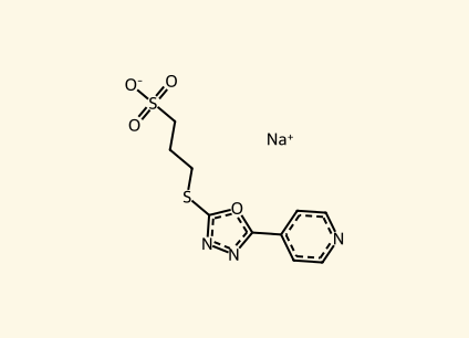 O=S(=O)([O-])CCCSc1nnc(-c2ccncc2)o1.[Na+]